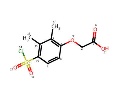 Cc1c(OCC(=O)O)ccc(S(=O)(=O)Cl)c1C